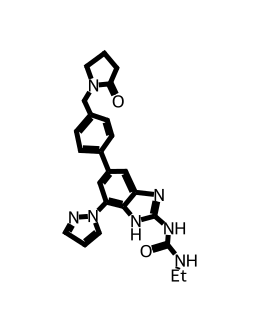 CCNC(=O)Nc1nc2cc(-c3ccc(CN4CCCC4=O)cc3)cc(-n3cccn3)c2[nH]1